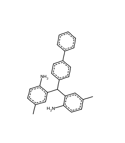 Cc1ccc(N)c(C(c2ccc(-c3ccccc3)cc2)c2cc(C)ccc2N)c1